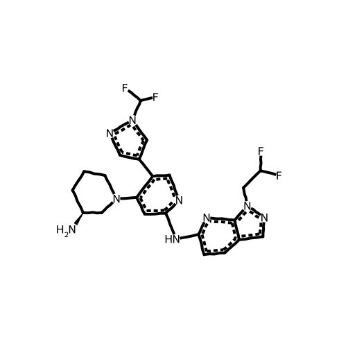 N[C@H]1CCCN(c2cc(Nc3ccc4cnn(CC(F)F)c4n3)ncc2-c2cnn(C(F)F)c2)C1